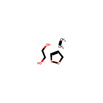 C1=CSSC1.C=C.OCCO